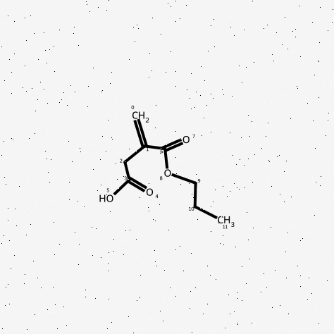 C=C(CC(=O)O)C(=O)OCCC